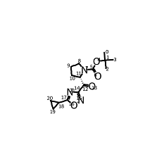 CC(C)(C)OC(=O)N1CCC[C@H]1C(=O)c1noc(C2CC2)n1